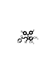 Cc1cc(C)c2c(C#N)c(C=CC(=O)N3CCOCC3)n(C(c3ccc(F)cc3)c3ccc(F)cc3)c2n1